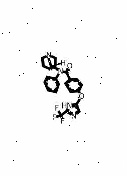 O=C(c1ccc(Oc2cnc(C(F)(F)F)[nH]2)cc1)N(c1ccccc1)[C@H]1CN2CCC1CC2